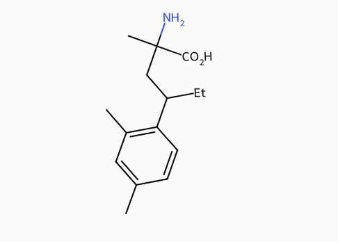 CCC(CC(C)(N)C(=O)O)c1ccc(C)cc1C